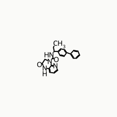 CCC(NC(=O)N1CC(=O)Nc2cccnc21)c1ccc(-c2ccccc2)cc1